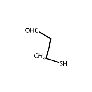 C.O=CCCS